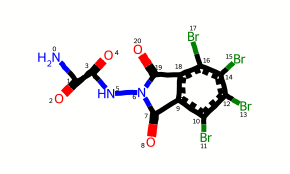 NC(=O)C(=O)NN1C(=O)c2c(Br)c(Br)c(Br)c(Br)c2C1=O